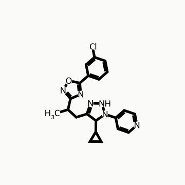 CC(CC1=NNN(c2ccncc2)C1C1CC1)c1noc(-c2cccc(Cl)c2)n1